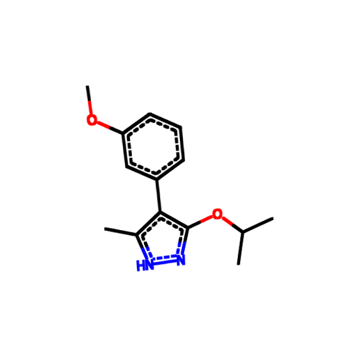 COc1cccc(-c2c(OC(C)C)n[nH]c2C)c1